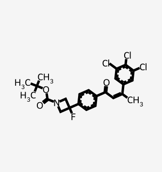 C/C(=C/C(=O)c1ccc(C2(F)CN(C(=O)OC(C)(C)C)C2)cc1)c1cc(Cl)c(Cl)c(Cl)c1